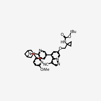 COc1ccc(CN2C3CC2CN(c2ccc(-c4cc(OCC5(NC(=O)OC(C)(C)C)CC5)cn5ncc(C#N)c45)cn2)C3)cn1